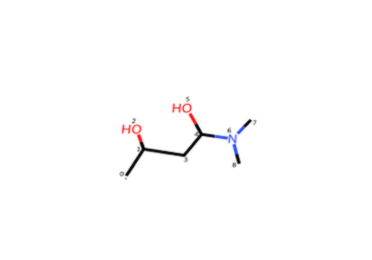 [CH2]C(O)CC(O)N(C)C